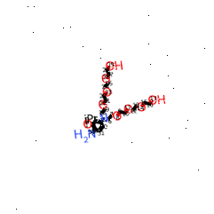 CC(C)Oc1cc(N(CCOCCOCCOCCO)CCOCCOCCOCCO)ccc1N